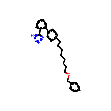 c1ccc(COCCCCCCCCc2ccc(-c3ccccc3-c3nnn[nH]3)cc2)cc1